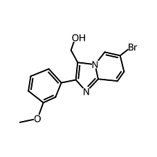 COc1cccc(-c2nc3ccc(Br)cn3c2CO)c1